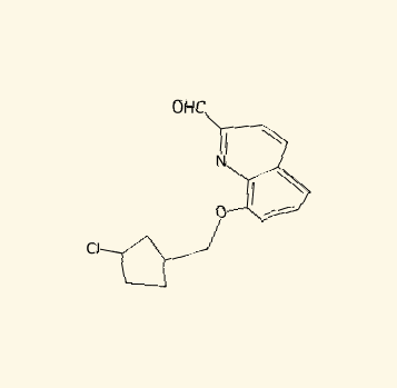 O=Cc1ccc2cccc(OCC3CCC(Cl)C3)c2n1